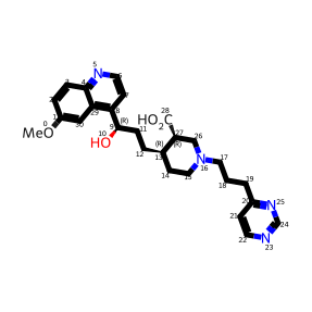 COc1ccc2nccc([C@H](O)CC[C@@H]3CCN(CCCc4ccncn4)C[C@@H]3C(=O)O)c2c1